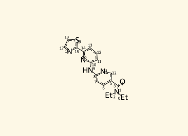 CCN(CC)C(=O)c1ccc(Nc2cccc(-c3nccs3)n2)nc1